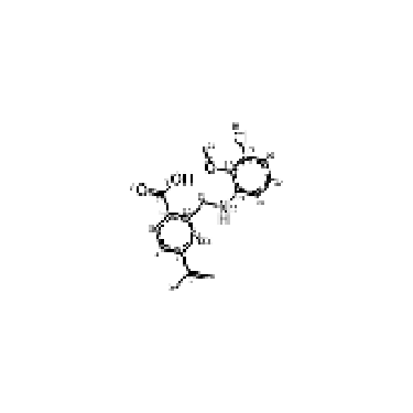 C=C(C)c1ccc(C(=O)O)c(CNc2cccc(Cl)c2OC)n1